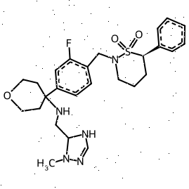 CN1N=CNC1CNC1(c2ccc(CN3CCC[C@H](c4ccccc4)S3(=O)=O)c(F)c2)CCOCC1